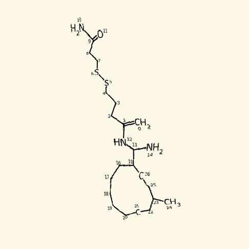 C=C(CCCSSCCC(N)=O)NC(N)C1CCCCCCCC(C)CC1